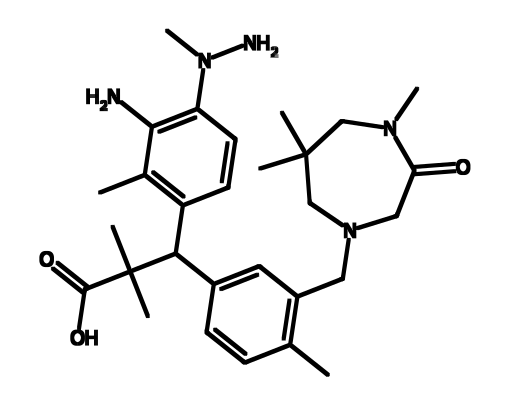 Cc1ccc(C(c2ccc(N(C)N)c(N)c2C)C(C)(C)C(=O)O)cc1CN1CC(=O)N(C)CC(C)(C)C1